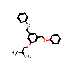 C=C(C)COc1cc(COc2ccccc2)cc(COc2ccccc2)c1